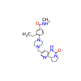 CCc1cc(C(=O)NC)ccc1N1CCN(Cc2cnc3c(c2)NC(=O)N2CCCC32)CC1